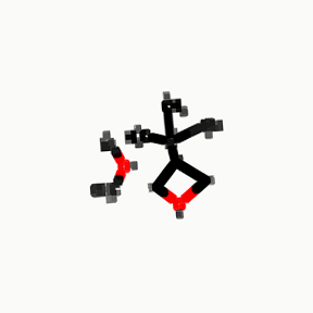 CC(C)(C)[Si](C)(C)C1COC1.CCOC=O